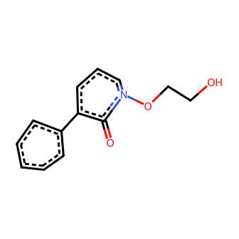 O=c1c(-c2ccccc2)cccn1OCCO